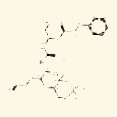 C=CCO[C@@H]1O[C@@H]2COC(C)(C)O[C@H]2[C@H](O)[C@H]1NC(=O)[C@@H](F)[C@@H](CCCCCCCCCCC)OC(=O)OCc1ccccc1